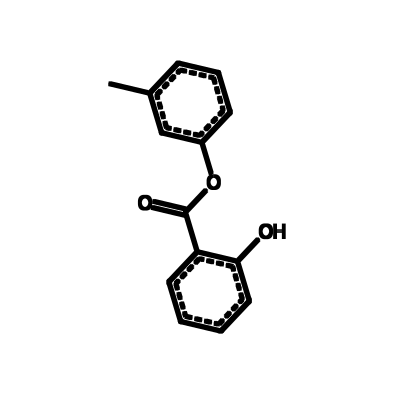 Cc1cccc(OC(=O)c2ccccc2O)c1